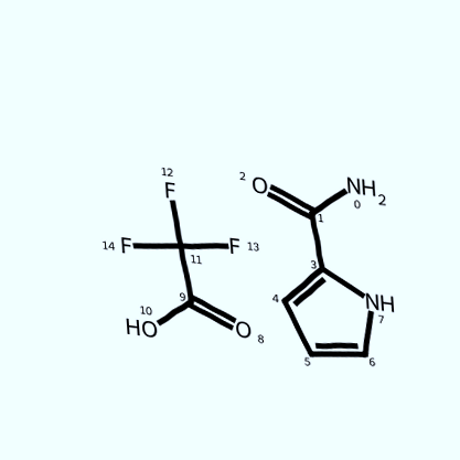 NC(=O)c1ccc[nH]1.O=C(O)C(F)(F)F